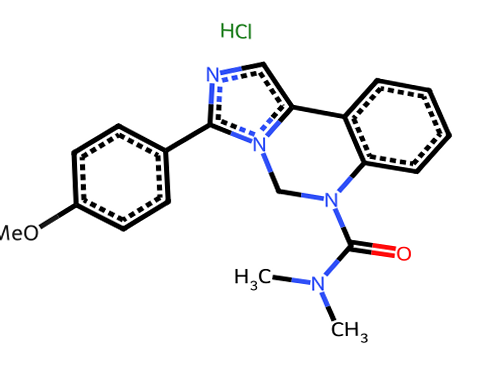 COc1ccc(-c2ncc3n2CN(C(=O)N(C)C)c2ccccc2-3)cc1.Cl